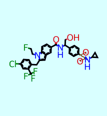 O=C(NC(CO)c1ccc(S(=O)(=O)NC2CC2)cc1)c1ccc2c(c1)cc(Cc1ccc(Cl)cc1C(F)(F)F)n2CCF